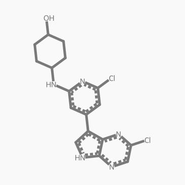 OC1CCC(Nc2cc(-c3c[nH]c4ncc(Cl)nc34)cc(Cl)n2)CC1